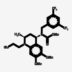 COC(=O)N(Cc1cc(C(F)(F)F)cc(C(F)(F)F)c1)[C@H]1C[C@@H](C)N(CCC(C)(C)C)c2cc(OC)c(OC)cc21